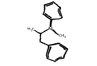 CC(Cc1ccccc1)N(C)c1ccccc1